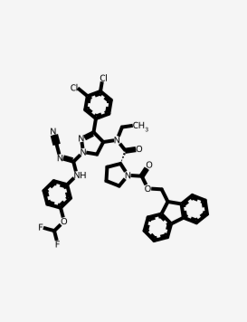 CCN(C(=O)[C@H]1CCCN1C(=O)OCC1c2ccccc2-c2ccccc21)C1CN(/C(=N\C#N)Nc2cccc(OC(F)F)c2)N=C1c1ccc(Cl)c(Cl)c1